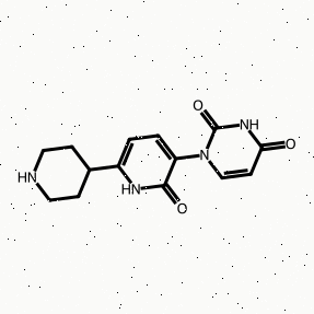 O=c1ccn(-c2ccc(C3CCNCC3)[nH]c2=O)c(=O)[nH]1